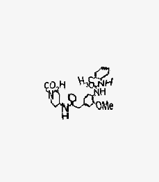 COc1cc(CC(=O)NC2CCN(CC(=O)O)CC2)ccc1NC(=O)Nc1ccccc1C